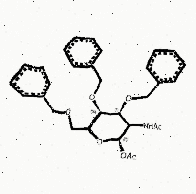 CC(=O)NC1[C@@H](OC(C)=O)OC(COCc2ccccc2)[C@@H](OCc2ccccc2)[C@H]1OCc1ccccc1